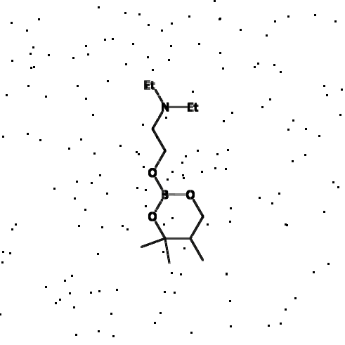 CCN(CC)CCOB1OCC(C)C(C)(C)O1